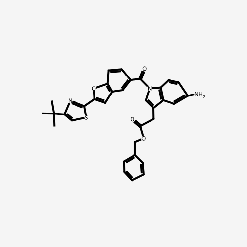 CC(C)(C)c1csc(-c2cc3cc(C(=O)n4cc(CC(=O)OCc5ccccc5)c5cc(N)ccc54)ccc3o2)n1